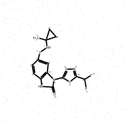 CC1(NSc2ccc3[nH]c(=O)n(-c4nnc(C(F)F)s4)c3c2)CC1